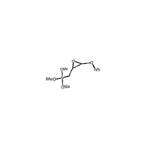 CCCOC1OC1C[Si](OC)(OC)OC